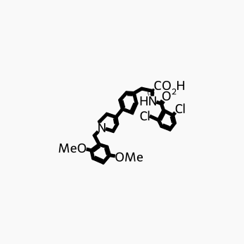 COc1ccc(OC)c(CN2CC=C(c3ccc(C[C@H](NC(=O)c4c(Cl)cccc4Cl)C(=O)O)cc3)CC2)c1